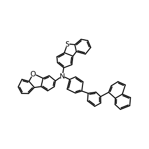 c1cc(-c2ccc(N(c3ccc4c(c3)oc3ccccc34)c3ccc4sc5ccccc5c4c3)cc2)cc(-c2cccc3ccccc23)c1